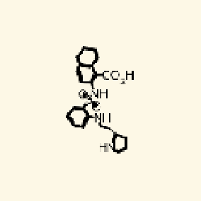 O=C(O)c1c(NS(=O)(=O)c2ccccc2NCC[C@@H]2CCCN2)ccc2c1CCCC2